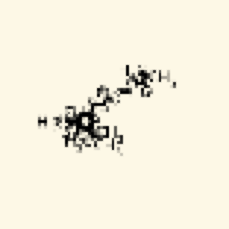 C=C(C)C(=O)OCCOC(=O)CCc1cc(C(C)(C)C)c(O)c(C(C)(C)C)c1